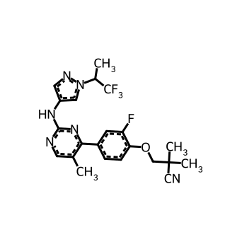 Cc1cnc(Nc2cnn(C(C)C(F)(F)F)c2)nc1-c1ccc(OCC(C)(C)C#N)c(F)c1